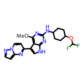 COc1nc(NC2CCC(OC(F)F)CC2)nc2[nH]cc(-c3ccn4nccc4n3)c12